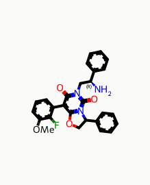 COc1cccc(-c2c3n(c(=O)n(C[C@H](N)c4ccccc4)c2=O)C(c2ccccc2)CO3)c1F